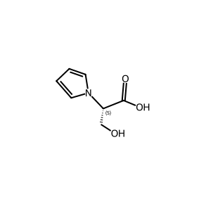 O=C(O)[C@H](CO)n1cccc1